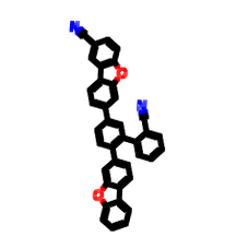 N#Cc1ccc2oc3cc(-c4ccc(-c5ccc6c(c5)oc5ccccc56)c(-c5ccccc5C#N)c4)ccc3c2c1